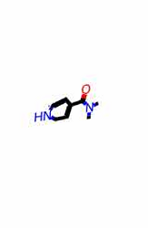 CN(C)C(=O)C1=CCN[C]=C1